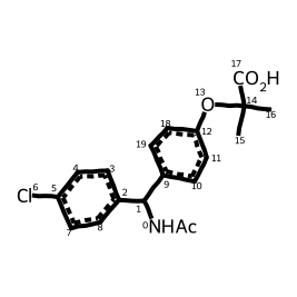 CC(=O)NC(c1ccc(Cl)cc1)c1ccc(OC(C)(C)C(=O)O)cc1